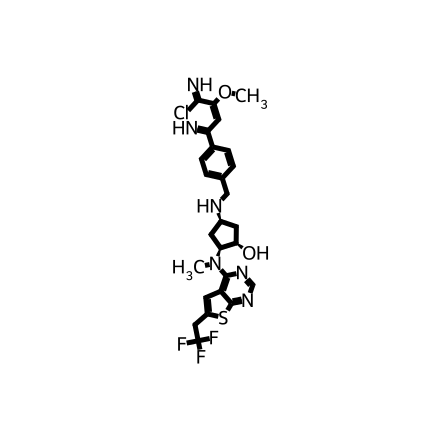 CO/C(=C/C(=N)c1ccc(CN[C@H]2C[C@@H](O)[C@@H](N(C)c3ncnc4sc(CC(F)(F)F)cc34)C2)cc1)C(=N)Cl